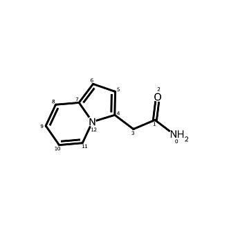 NC(=O)Cc1ccc2ccccn12